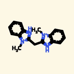 C[n+]1c(Cc2[nH]c3ccccc3[n+]2C)[nH]c2ccccc21